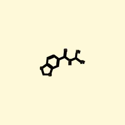 CC(C)C(NC(=O)c1ccc2c(c1)OCO2)C(C)C